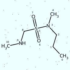 CCCN(C)S(=O)(=O)CNC